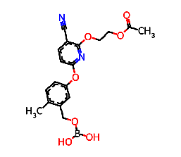 CC(=O)OCCOc1nc(Oc2ccc(C)c(COB(O)O)c2)ccc1C#N